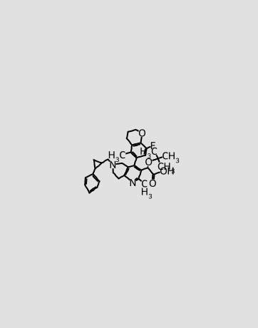 Cc1nc2c(c(-c3cc(F)c4c(c3C)CCCO4)c1[C@H](OC(C)(C)C)C(=O)O)CN(CC1CC1c1ccccc1)CC2